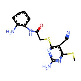 CSc1nc(N)nc(SCC(=O)Nc2ccccc2N)c1C#N